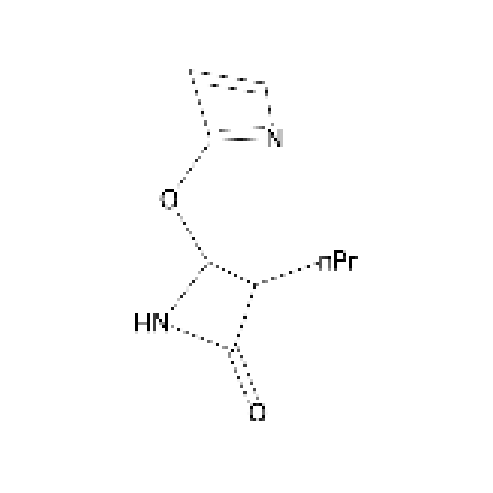 CCCC1C(=O)NC1OC1=NC=C1